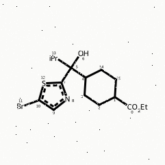 CCOC(=O)C1CCC(C(O)(c2ncc(Br)s2)C(C)C)CC1